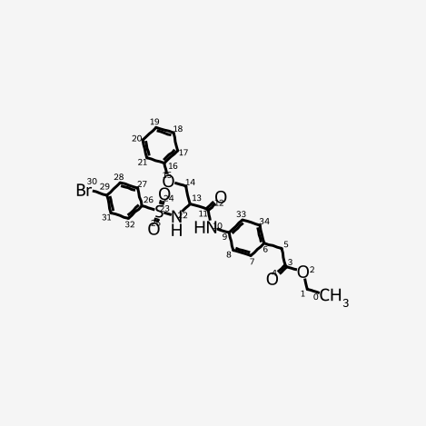 CCOC(=O)Cc1ccc(NC(=O)C(COc2ccccc2)NS(=O)(=O)c2ccc(Br)cc2)cc1